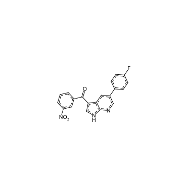 O=C(c1cccc([N+](=O)[O-])c1)c1c[nH]c2ncc(-c3ccc(F)cc3)cc12